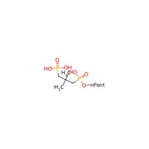 [CH2]C([CH2])(CP(=O)(O)O)CP(=O)(O)OCCCCC